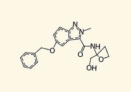 Cn1nc2ccc(OCc3ccccc3)cc2c1C(=O)NC1(CO)CCO1